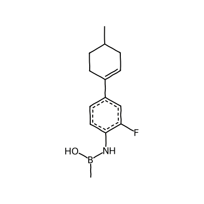 CB(O)Nc1ccc(C2=CCC(C)CC2)cc1F